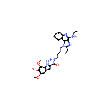 CCNc1nc2ccccc2c2c1nc(CC)n2CCCCNC(=O)c1cc2cc(OC)c(OC)c(OC)c2[nH]1